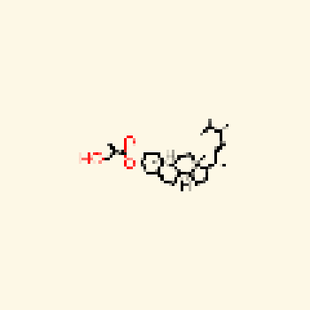 C=C(CO)C(=O)O[C@H]1CC[C@@]2(C)C(=CC=C3[C@@H]4CC[C@H]([C@H](C)/C=C/[C@H](C)C(C)C)[C@@]4(C)CC[C@@H]32)C1